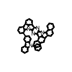 c1ccc(-n2c3ccccc3c3cc(-c4cccc5c6cccc7c8nc9c(nc8n(c45)c67)c4c5ccccc5cc5c6ccc7ccccc7c6n9c54)ccc32)cc1